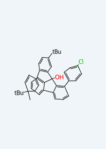 CC(C)(C)c1ccc(C2=CCC(C)(C(C)(C)C)C=C2)c(C2(O)c3ccccc3-c3cccc(-c4ccc(Cl)cc4)c32)c1